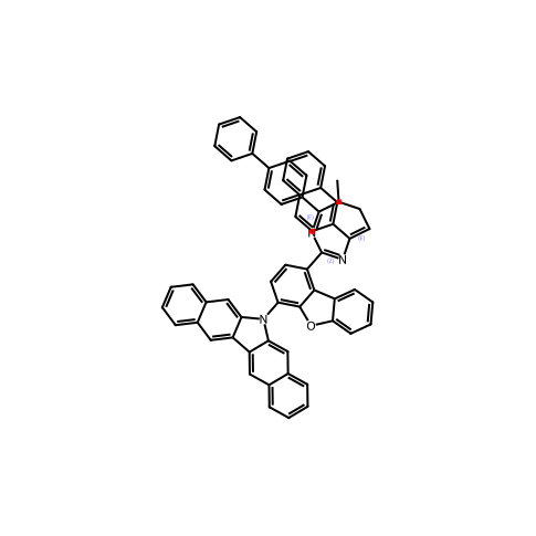 CC1C/C=C(c2ccc3ccccc3c2)/N=C(c2ccc(-n3c4cc5ccccc5cc4c4cc5ccccc5cc43)c3oc4ccccc4c23)\N=C/1c1ccc(-c2ccccc2)cc1